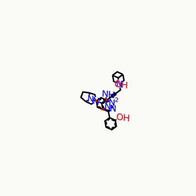 Nc1nnc(-c2ccccc2O)cc1N1CC2CCC(C1)N2c1ccnc(C#CCN2CC3CC(C2)C3O)c1